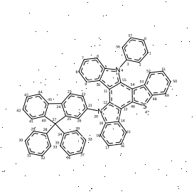 c1ccc(-n2c3ccccc3c3c4c(c5ccccc5n4-c4ccc5c(c4)C(c4ccccc4)(c4ccccc4)c4ccccc4-5)c4sc5ccccc5c4c32)cc1